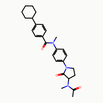 CC(=O)N(C)C1CCN(c2ccc(N(C)C(=O)c3ccc(C4CCCCC4)cc3)cc2)C1=O